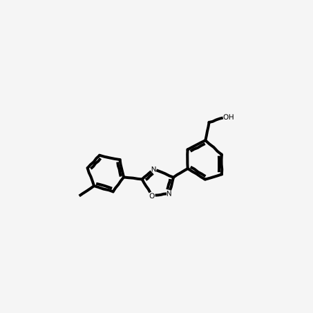 Cc1cccc(-c2nc(-c3cccc(CO)c3)no2)c1